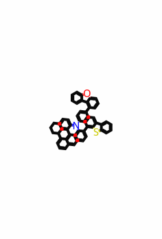 c1ccc(N(c2ccc(-c3cccc4oc5ccccc5c34)cc2)c2ccccc2-c2cccc3cccc(C4CCCCC4)c23)c(-c2cccc3c2sc2ccccc23)c1